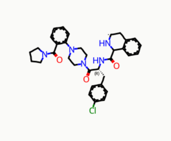 O=C(N[C@H](Cc1ccc(Cl)cc1)C(=O)N1CCN(c2ccccc2C(=O)N2CCCC2)CC1)C1N[CH]Cc2ccccc21